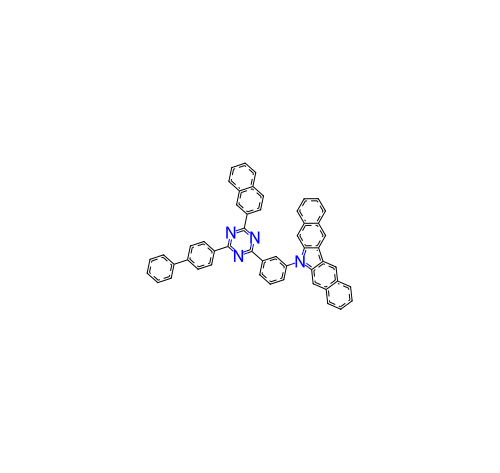 c1ccc(-c2ccc(-c3nc(-c4cccc(-n5c6cc7ccccc7cc6c6cc7ccccc7cc65)c4)nc(-c4ccc5ccccc5c4)n3)cc2)cc1